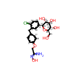 N/C(COc1ccc(Cc2cc([C@@H]3O[C@H](CO)[C@@H](O)[C@H](O)[C@H]3O)ccc2Cl)cc1)=N\O